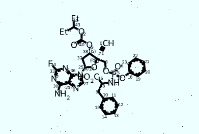 C#C[C@]1(CO[P@@](=O)(NC(Cc2ccccc2)C(=O)O)Oc2ccccc2)O[C@@H](n2cnc3c(N)nc(F)nc32)C[C@@H]1OC(=O)OC(CC)CC